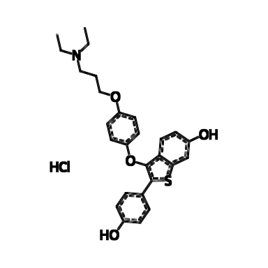 CCN(CC)CCCOc1ccc(Oc2c(-c3ccc(O)cc3)sc3cc(O)ccc23)cc1.Cl